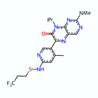 CNc1ncc2nc(-c3cnc(NSCCC(F)(F)F)cc3C)c(=O)n(C(C)C)c2n1